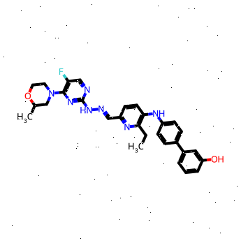 CCc1nc(/C=N/Nc2ncc(F)c(N3CCOC(C)C3)n2)ccc1Nc1ccc(-c2cccc(O)c2)cc1